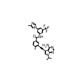 Cc1cn(-c2cc(NC(=O)c3ccc(C)c(C#Cc4cn(C(C)C)c5ncnc(N)c45)c3)cc(C(F)(F)F)c2)cn1